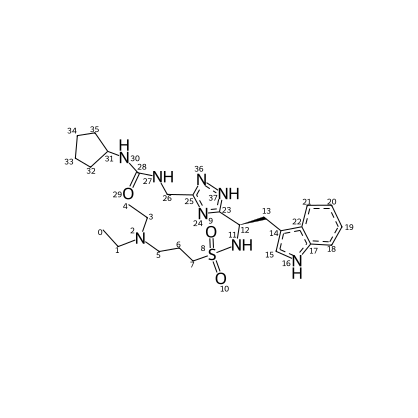 CCN(CC)CCCS(=O)(=O)N[C@H](Cc1c[nH]c2ccccc12)c1nc(CNC(=O)NC2CCCC2)n[nH]1